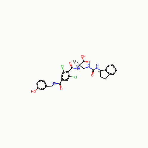 C[C@](CNC(=O)N[C@@H]1CCc2ccccc21)(NC(=O)c1c(Cl)cc(C(=O)NCc2cccc(O)c2)cc1Cl)C(=O)O